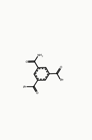 CC(C)C(=O)c1cc(C(N)=O)cc(C(=O)C(C)C)c1